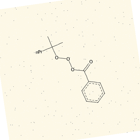 CCCC(C)(C)OOOC(=O)c1ccccc1